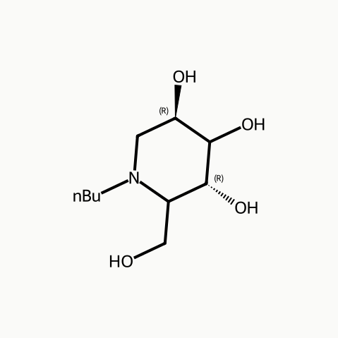 CCCCN1C[C@@H](O)C(O)[C@H](O)C1CO